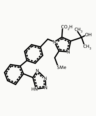 CSCc1nc(C(C)(C)O)c(C(=O)O)n1Cc1ccc(-c2ccccc2-c2nnn[nH]2)cc1